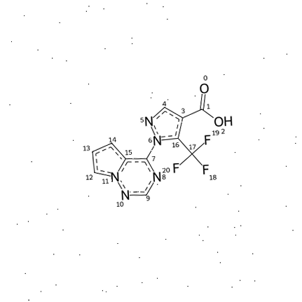 O=C(O)c1cnn(-c2ncnn3cccc23)c1C(F)(F)F